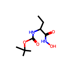 CCC(NC(=O)OC(C)(C)C)C(=O)NO